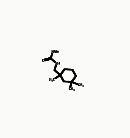 CNC(=O)NCC1(C)CCCC(C)(C)C1